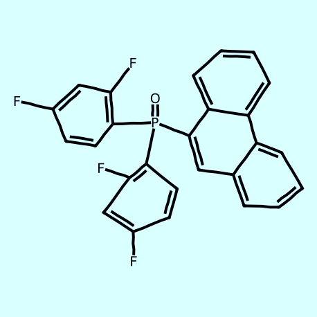 O=P(c1ccc(F)cc1F)(c1ccc(F)cc1F)c1cc2ccccc2c2ccccc12